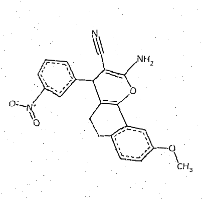 COc1ccc2c(c1)C1=C(CC2)C(c2cccc([N+](=O)[O-])c2)C(C#N)=C(N)O1